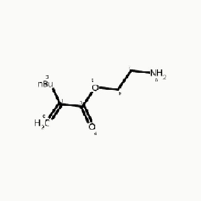 C=C(CCCC)C(=O)OCCN